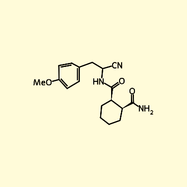 COc1ccc(CC(C#N)NC(=O)[C@@H]2CCCC[C@@H]2C(N)=O)cc1